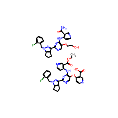 CCOC(=O)c1cnccc1Nc1nc(-c2nn(Cc3ccccc3F)c3c2CCC3)ncc1Oc1ccncc1C(=O)O.NC(=O)c1cnccc1Nc1nc(-c2nn(Cc3ccccc3F)c3c2CCC3)ncc1OCCO